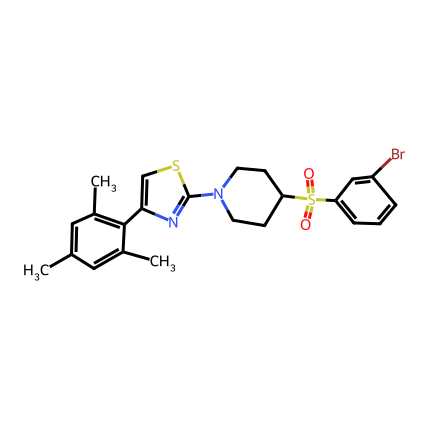 Cc1cc(C)c(-c2csc(N3CCC(S(=O)(=O)c4cccc(Br)c4)CC3)n2)c(C)c1